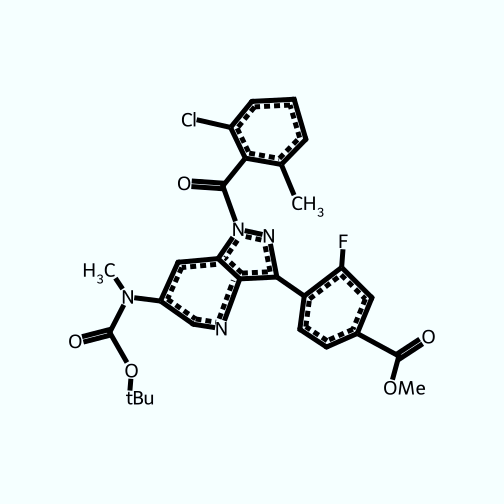 COC(=O)c1ccc(-c2nn(C(=O)c3c(C)cccc3Cl)c3cc(N(C)C(=O)OC(C)(C)C)cnc23)c(F)c1